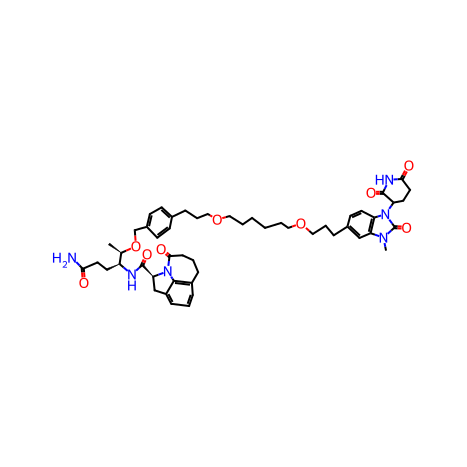 C[C@@H](OCc1ccc(CCCOCCCCCCOCCCc2ccc3c(c2)n(C)c(=O)n3C2CCC(=O)NC2=O)cc1)[C@H](CCC(N)=O)NC(=O)[C@@H]1Cc2cccc3c2N1C(=O)CCC3